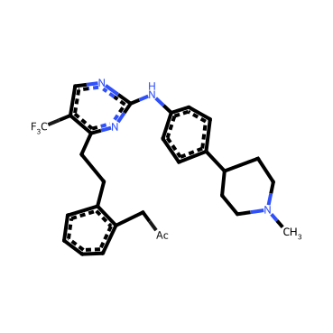 CC(=O)Cc1ccccc1CCc1nc(Nc2ccc(C3CCN(C)CC3)cc2)ncc1C(F)(F)F